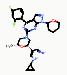 C[C@@H]1CN(c2nc(-c3ccc(F)cc3F)c3cnn(C4CCCCO4)c3n2)C[C@H](/C(C=N)=C/NC2CC2)O1